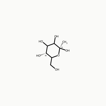 C[C@]1(O)OC(CO)[C@H](O)C(O)C1O